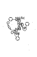 CC(=O)N[C@H]1Cc2cccc(c2)Oc2ccc(cc2)C[C@@H](C(=O)NCc2ccccc2F)NC(=O)[C@H](CC(=O)N2CCC[C@@H]2c2ccccc2)NC1=O